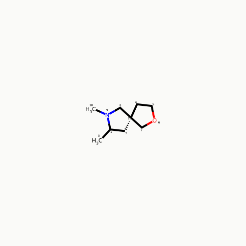 CC1C[C@@]2(CCOC2)CN1C